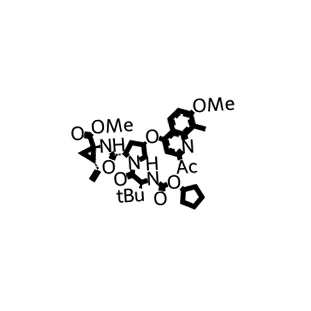 C=C[C@@H]1C[C@]1(NC(=O)[C@@H]1C[C@@H](Oc2cc(C(C)=O)nc3c(C)c(OC)ccc23)CN1C(=O)[C@@H](NC(=O)OC1CCCC1)C(C)(C)C)C(=O)OC